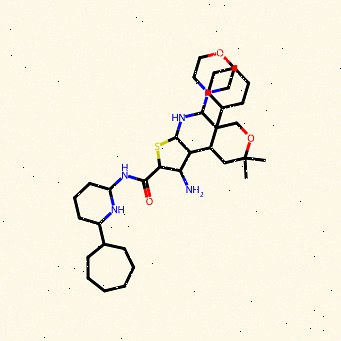 CC1(C)CC2C3C(NC(N4CCOCC4)C2(C2CCCCC2)CO1)SC(C(=O)NC1CCCC(C2CCCCCC2)N1)C3N